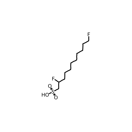 O=S(=O)(O)CC(F)CCCCCCCCCF